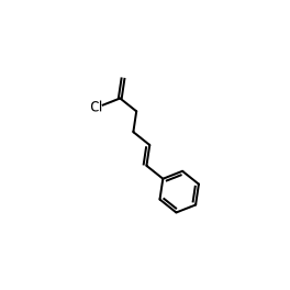 C=C(Cl)CC/C=C/c1ccccc1